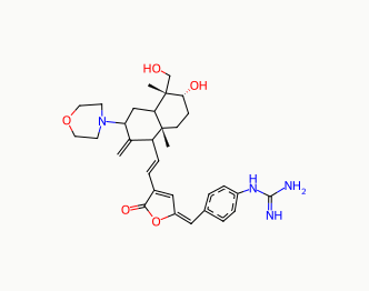 C=C1C(N2CCOCC2)CC2[C@](C)(CC[C@@H](O)[C@@]2(C)CO)C1/C=C/C1=CC(=C\c2ccc(NC(=N)N)cc2)/OC1=O